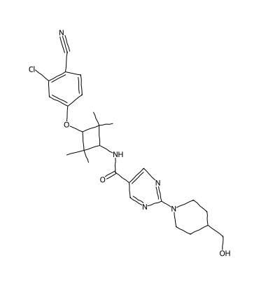 CC1(C)C(NC(=O)c2cnc(N3CCC(CO)CC3)nc2)C(C)(C)C1Oc1ccc(C#N)c(Cl)c1